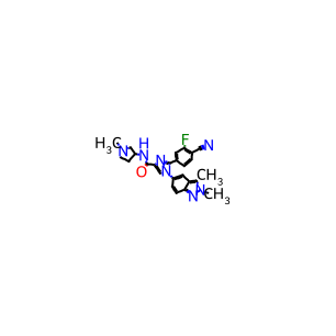 Cc1c2cc(-n3cc(C(=O)NC4CCN(C)C4)nc3-c3ccc(C#N)c(F)c3)ccc2nn1C